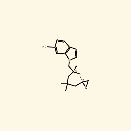 CC1(C)C[C@](C)(Cn2cnc3ccc(C#N)cc32)C[C@@]2(CO2)C1